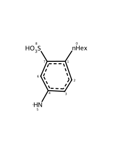 CCCCCCc1ccc([NH])cc1S(=O)(=O)O